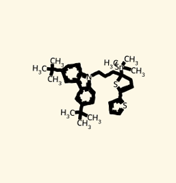 CC(C)(C)c1ccc2c(c1)c1cc(C(C)(C)C)ccc1n2CCC[C]1([Sn]([CH3])([CH3])[CH3])CC=C(c2cccs2)S1